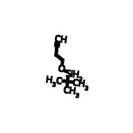 C#CCCO[SiH2]C(C)(C)C